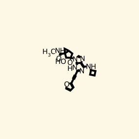 CNC(=O)C12CC1C[C@](O)(n1cnc3c(NC4CCC4)nc(C#Cc4ccco4)nc31)[C@@H]2O